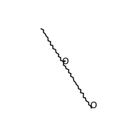 CCCCCCCCCCCCCCCCCC(=O)CCCCCCCCCCCCCCCCCCCCCC(C)=O